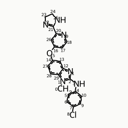 Cn1c(Nc2ccc(Cl)cc2)nc2cc(Oc3ccnc(C4=NCCN4)c3)ccc21